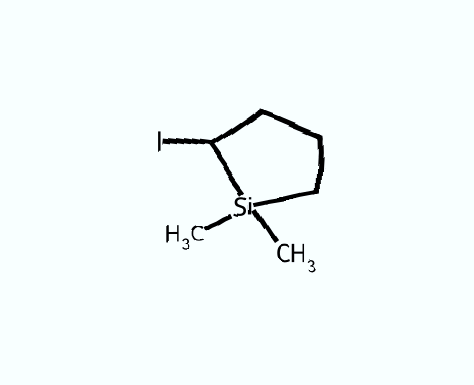 C[Si]1(C)CCCC1I